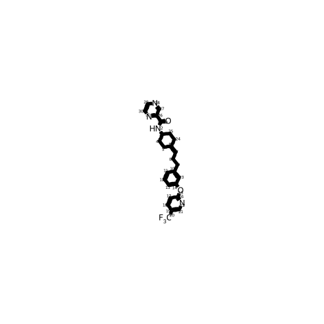 O=C(NC1CCC(=CCCc2cccc(Oc3ccc(C(F)(F)F)cn3)c2)CC1)c1cnccn1